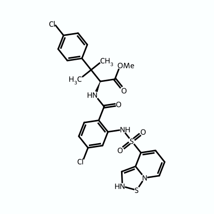 COC(=O)[C@@H](NC(=O)c1ccc(Cl)cc1NS(=O)(=O)C1=CC=CN2SNC=C12)C(C)(C)c1ccc(Cl)cc1